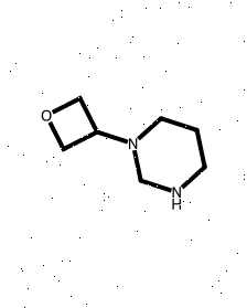 C1CNCN(C2COC2)C1